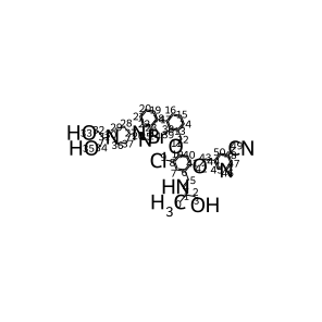 CC(CO)NCc1cc(Cl)c(OCc2cccc(-c3cccc4c3cnn4C3CCN(C(CO)CO)CC3)c2Br)cc1OCc1cncc(C#N)c1